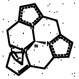 C1=C2Cc3ccc4n3[C@@]35N2C(C1)CC1CCC(Cc2ccc(n23)C4)N15